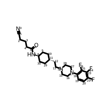 N#CCCCC(=O)N[C@H]1CC[C@H](CCN2CCN(c3ccc(F)c(F)c3F)CC2)CC1